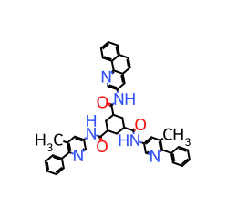 Cc1cc(NC(=O)C2CC(C(=O)Nc3cnc(-c4ccccc4)c(C)c3)CC(C(=O)Nc3cnc4c(ccc5ccccc54)c3)C2)cnc1-c1ccccc1